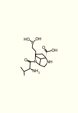 CC(C)[C@H](N)C(=O)N1CC[C@@]2(C(=O)O)NCC1C2CCCB(O)O